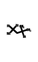 CCC(C)(C)CC(C#N)(CC)CC